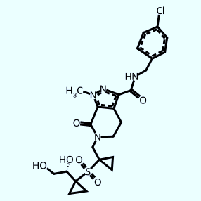 Cn1nc(C(=O)NCc2ccc(Cl)cc2)c2c1C(=O)N(CC1(S(=O)(=O)C3([C@@H](O)CO)CC3)CC1)CC2